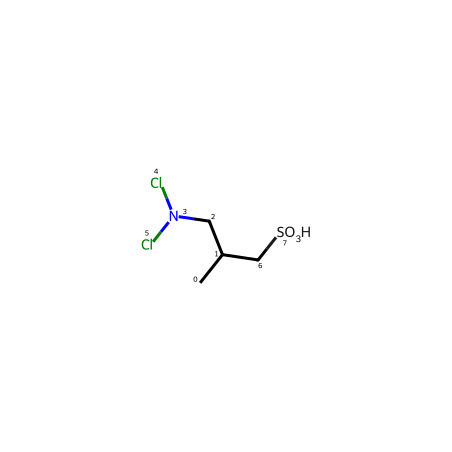 CC(CN(Cl)Cl)CS(=O)(=O)O